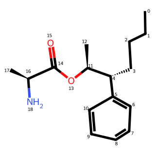 CCCC[C@H](c1ccccc1)[C@H](C)OC(=O)[C@H](C)N